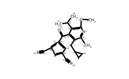 COc1nc(C)c(CC2CC2)c(C(=O)c2cc(C#N)cc(C#N)c2)c1C(C)C